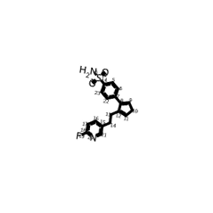 NS(=O)(=O)c1ccc(C2=CCC=C2CCc2ccc(F)nc2)cc1